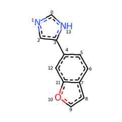 c1ncc(-c2ccc3ccoc3c2)[nH]1